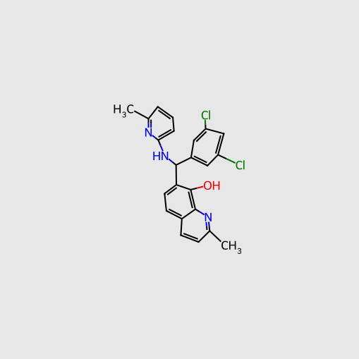 Cc1cccc(NC(c2cc(Cl)cc(Cl)c2)c2ccc3ccc(C)nc3c2O)n1